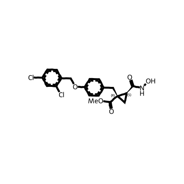 COC(=O)[C@@]1(Cc2ccc(OCc3ccc(Cl)cc3Cl)cc2)C[C@@H]1C(=O)NO